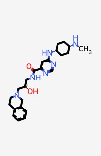 CN[C@H]1CC[C@@H](Nc2cc(C(=O)NC[C@H](O)CN3CCc4ccccc4C3)ncn2)CC1